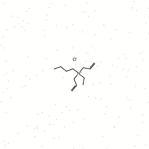 C=CC[N+](CC)(CC=C)CCCC.[Cl-]